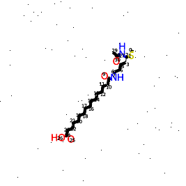 CS[C@H](CCCCNC(=O)CCCCCCCCCCCCCCC(=O)O)NC(C)=O